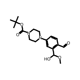 COC(O)c1cc(N2CCN(C(=O)OC(C)(C)C)CC2)ccc1C=O